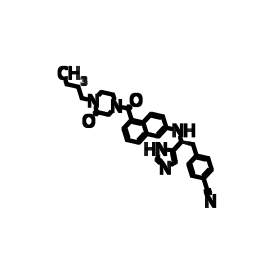 CCCCN1CCN(C(=O)c2cccc3cc(N[C@@H](Cc4ccc(C#N)cc4)c4cnc[nH]4)ccc23)CC1=O